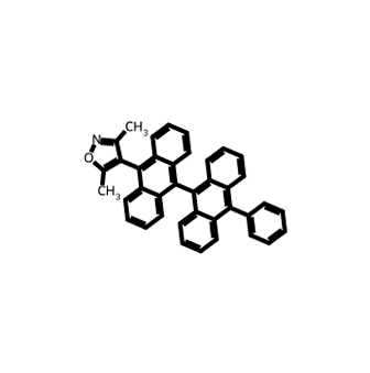 Cc1noc(C)c1-c1c2ccccc2c(-c2c3ccccc3c(-c3ccccc3)c3ccccc23)c2ccccc12